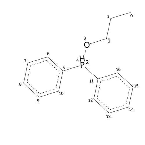 CC[CH]O[PH2](c1ccccc1)c1ccccc1